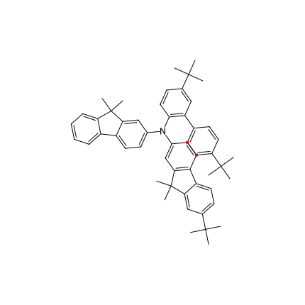 CC(C)(C)c1ccc(-c2cc(C(C)(C)C)ccc2N(c2ccc3c(c2)C(C)(C)c2ccccc2-3)c2ccc3c(c2)C(C)(C)c2cc(C(C)(C)C)ccc2-3)cc1